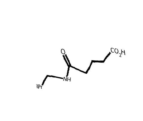 CC(C)CNC(=O)CCCC(=O)O